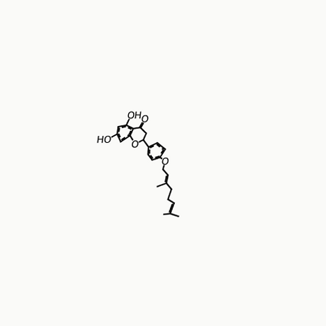 CC(C)=CCC/C(C)=C/COc1ccc(C2CC(=O)c3c(O)cc(O)cc3O2)cc1